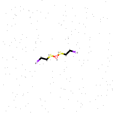 ICCSOSCCI